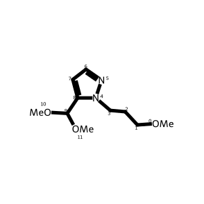 COCCCn1nccc1C(OC)OC